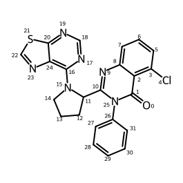 O=c1c2c(Cl)cccc2nc(C2CCCN2c2ncnc3scnc23)n1-c1ccccc1